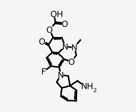 CN1COc2c(N3CC4C=CC=CC4(CN)C3)c(F)cc3c(=O)c(OC(=O)O)cn1c23